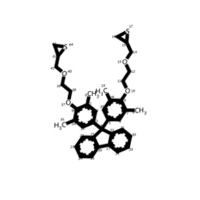 Cc1cc(C2(c3cc(C)c(OCCOCC4CS4)c(C)c3)c3ccccc3-c3ccccc32)cc(C)c1OCCOCC1CS1